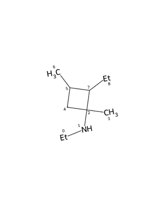 CCNC1(C)CC(C)C1CC